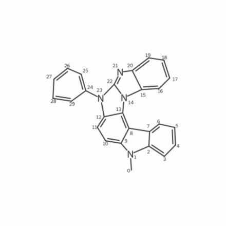 Cn1c2ccccc2c2c1ccc1c2n2c3ccccc3nc2n1-c1ccccc1